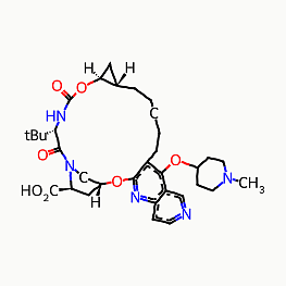 CN1CCC(Oc2c3c(nc4ccncc24)O[C@@H]2C[C@@H](C(=O)O)N(C2)C(=O)[C@H](C(C)(C)C)NC(=O)O[C@H]2C[C@@H]2CCCCC3)CC1